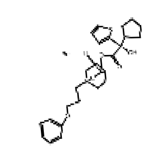 O=C(O[C@H]1C[N+]2(CCCOc3ccccc3)CCC1CC2)[C@](O)(c1cccs1)C1CCCC1.[Br-]